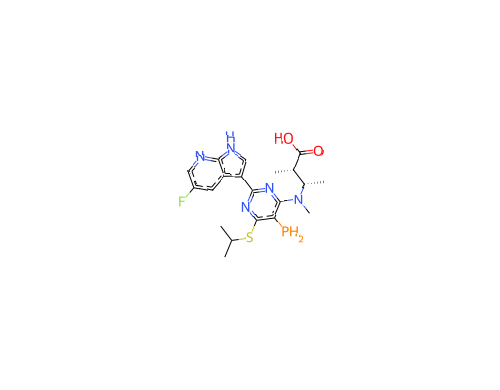 CC(C)Sc1nc(-c2c[nH]c3ncc(F)cc23)nc(N(C)[C@@H](C)[C@H](C)C(=O)O)c1P